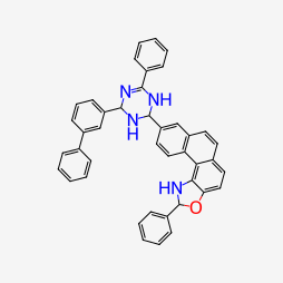 c1ccc(C2=NC(c3cccc(-c4ccccc4)c3)NC(c3ccc4c(ccc5ccc6c(c54)NC(c4ccccc4)O6)c3)N2)cc1